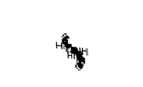 COc1ccc2c(c1)[C@]1(C[C@H]1c1ccc3c(Nc4nc(C5CCOC5)ncc4OC)n[nH]c3c1)C(=O)N2